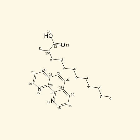 CCCCCCCCCCC(C)C(=O)O.c1cnc2c(c1)ccc1cccnc12